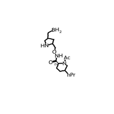 BCC1CNC(CONC(=O)[C@@H]2CCC(CCC)CN2C(C)=O)C1